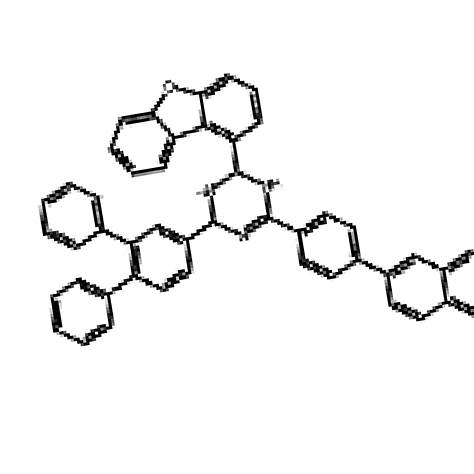 c1ccc(-c2ccc(C3N=C(c4ccc(-c5ccc6ccccc6c5)cc4)NC(c4cccc5oc6ccccc6c45)N3)cc2-c2ccccc2)cc1